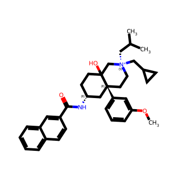 COc1cccc([C@]23CC[N@+](CC(C)C)(CC4CC4)CC2(O)CC[C@@H](NC(=O)c2ccc4ccccc4c2)C3)c1